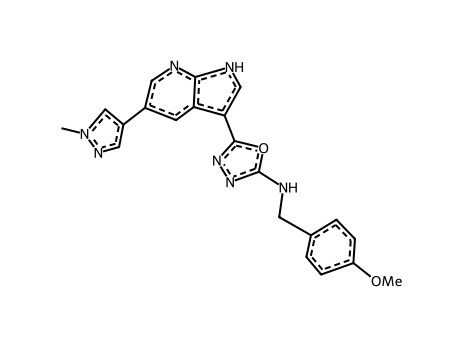 COc1ccc(CNc2nnc(-c3c[nH]c4ncc(-c5cnn(C)c5)cc34)o2)cc1